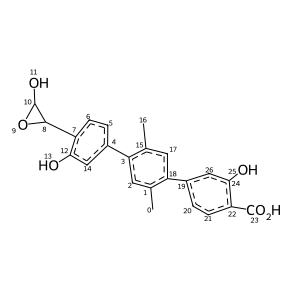 Cc1cc(-c2ccc(C3OC3O)c(O)c2)c(C)cc1-c1ccc(C(=O)O)c(O)c1